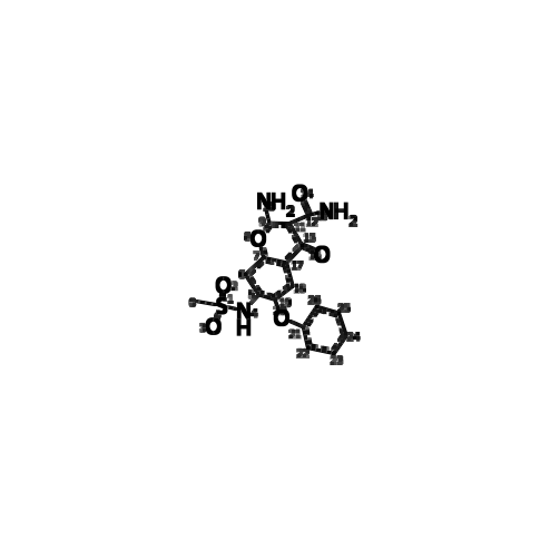 CS(=O)(=O)Nc1cc2oc(N)c(C(N)=O)c(=O)c2cc1Oc1ccccc1